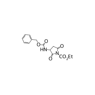 CCOC(=O)N1C(=O)CC(NC(=O)OCc2ccccc2)C1=O